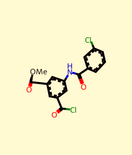 COC(=O)c1cc(NC(=O)c2cccc(Cl)c2)cc(C(=O)Cl)c1